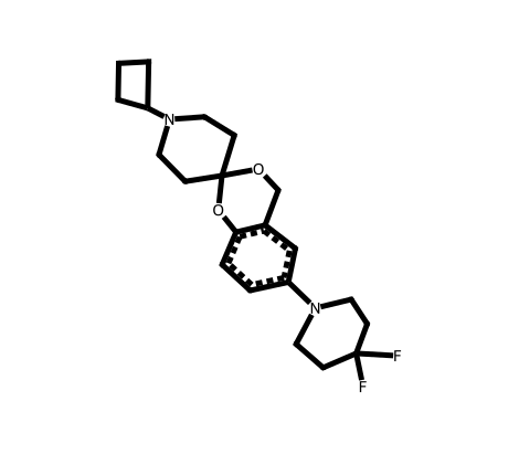 FC1(F)CCN(c2ccc3c(c2)COC2(CCN(C4CCC4)CC2)O3)CC1